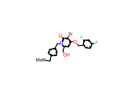 CNCc1ccc(Cn2c(CO)cc(OCc3ccc(F)cc3F)c(Br)c2=O)cc1